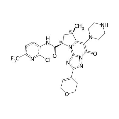 C[C@@H]1C[C@H](C(=O)Nc2ccc(C(F)(F)F)nc2Cl)n2c1c(N1CCNCC1)c(=O)n1nc(C3=CCOCC3)nc21